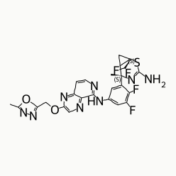 Cc1nnc(COc2cnc3c(Nc4cc(F)c(F)c([C@@]5(C)N=C(N)S[C@@]6(C(F)F)CC65)c4)nccc3n2)o1